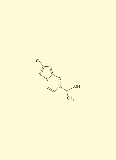 CC(O)c1ccn2nc(Cl)cc2n1